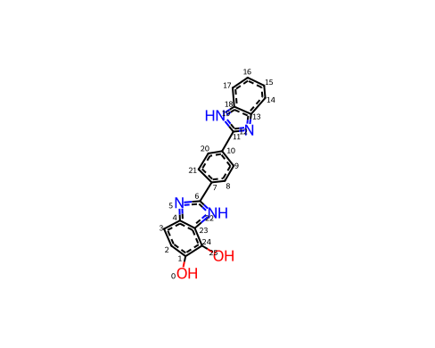 Oc1ccc2nc(-c3ccc(-c4nc5ccccc5[nH]4)cc3)[nH]c2c1O